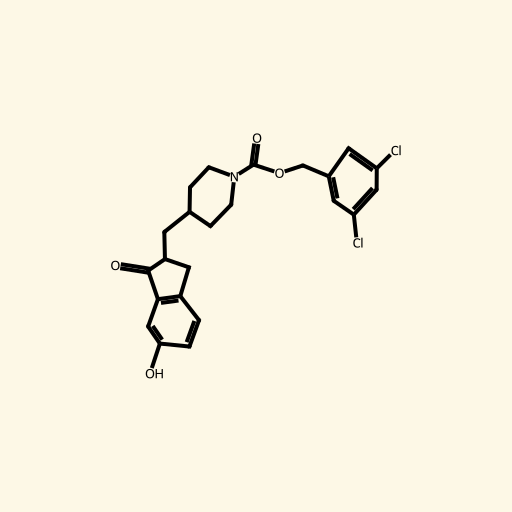 O=C1c2cc(O)ccc2CC1CC1CCN(C(=O)OCc2cc(Cl)cc(Cl)c2)CC1